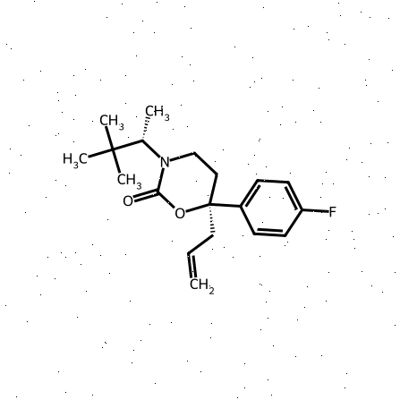 C=CC[C@@]1(c2ccc(F)cc2)CCN([C@@H](C)C(C)(C)C)C(=O)O1